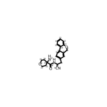 N#CC(Cc1ccc2c(c1)COc1ccccc1-2)NC(=O)C1(N)CCOCC1